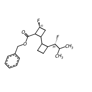 CC(C)[C@@H](F)C1CCC1C1C[C@H](F)C1C(=O)OCc1ccccc1